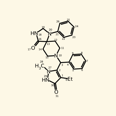 CCc1c(C(c2ccccc2)N2CCC3(CC2)C(=O)NCN3c2ccccc2)n(C)[nH]c1=O